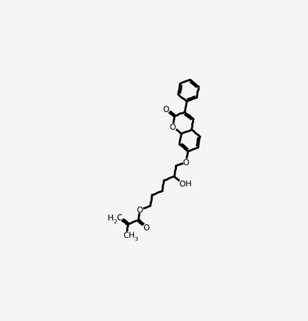 C=C(C)C(=O)OCCCCC(O)COC1=CC2OC(=O)C(c3ccccc3)=CC2C=C1